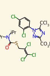 CC(C)N(C(=O)SCC(Cl)=C(Cl)Cl)C(C)C.O=C(O)c1nc(C(Cl)(Cl)Cl)n(-c2ccc(Cl)cc2Cl)n1